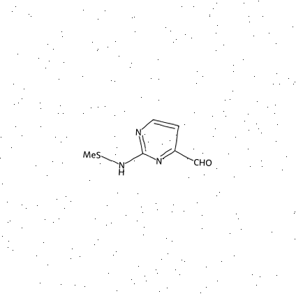 CSNc1nccc(C=O)n1